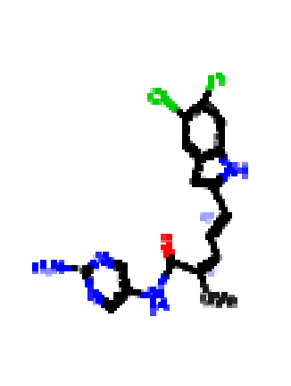 CO/C(=C/C=C/c1cc2cc(Cl)c(Cl)cc2[nH]1)C(=O)Nc1cnc(N)nc1